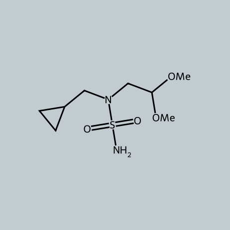 COC(CN(CC1CC1)S(N)(=O)=O)OC